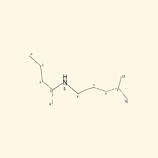 CCCC(C)NCCCC(C)C